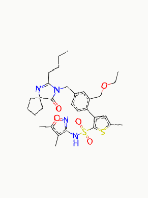 CCCCC1=NC2(CCCC2)C(=O)N1Cc1ccc(-c2cc(C)sc2S(=O)(=O)Nc2noc(C)c2C)c(COCC)c1